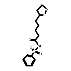 O=C(CCCCC1CCSS1)NS(=O)(=O)c1ccccc1